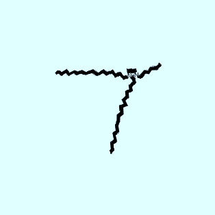 CCCCCCCCCCCCCCCCCCc1n(CCCCCC)cc[n+]1CCCCCCCCCCCCCCCCC